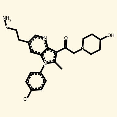 Cc1c(C(=O)CN2CCC(O)CC2)c2ncc(CCSN)cc2n1-c1ccc(Cl)cc1